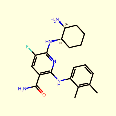 Cc1cccc(Nc2nc(N[C@@H]3CCCC[C@@H]3N)c(F)cc2C(N)=O)c1C